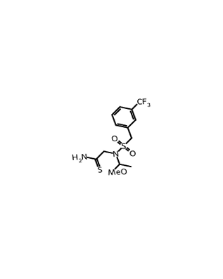 COC(C)N(CC(N)=S)S(=O)(=O)Cc1cccc(C(F)(F)F)c1